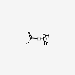 C=C(C)C=O.CC(C)O